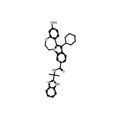 COc1ccc2c(c1)OCCn1c-2c(C2CCCCC2)c2ccc(C(=O)NC(C)(C)c3nc4ccccc4[nH]3)cc21